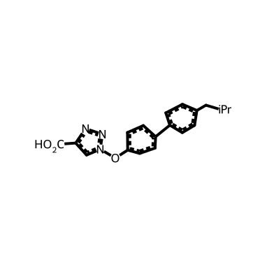 CC(C)Cc1ccc(-c2ccc(On3cc(C(=O)O)nn3)cc2)cc1